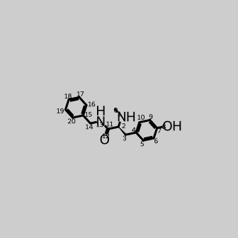 CN[C@@H](Cc1ccc(O)cc1)C(=O)NCc1ccccc1